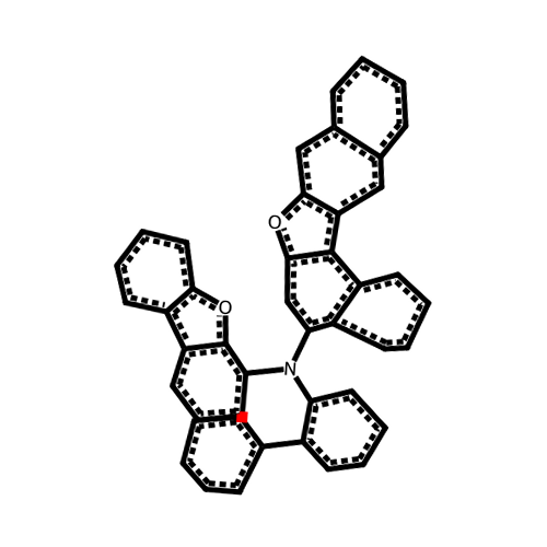 c1ccc(-c2ccccc2N(c2cc3oc4cc5ccccc5cc4c3c3ccccc23)c2cccc3c2oc2ccccc23)cc1